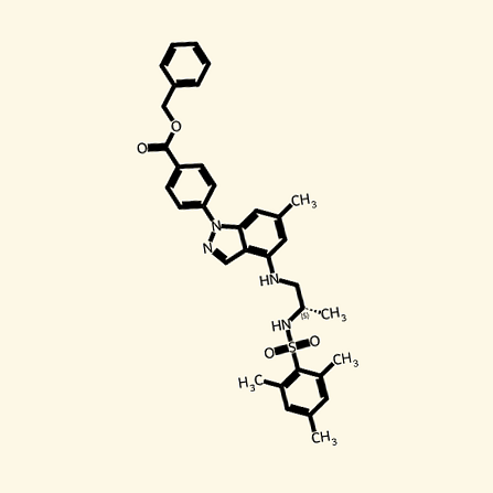 Cc1cc(C)c(S(=O)(=O)N[C@@H](C)CNc2cc(C)cc3c2cnn3-c2ccc(C(=O)OCc3ccccc3)cc2)c(C)c1